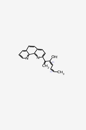 C=C(/C(O)=C\C=C/C)c1ccc2ccc3cccnc3c2n1